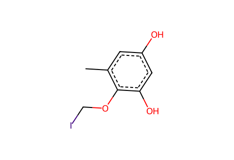 Cc1cc(O)cc(O)c1OCI